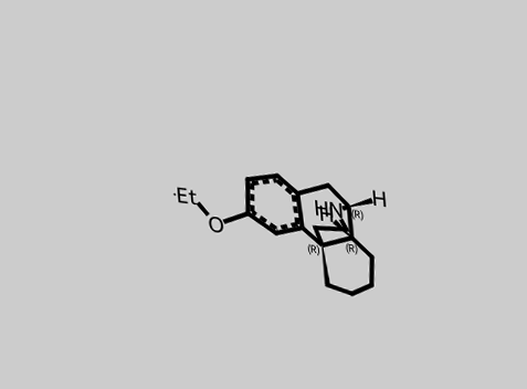 C[CH]Oc1ccc2c(c1)[C@@]13CCCC[C@H]1[C@@H](C2)NCC3